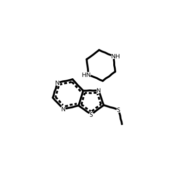 C1CNCCN1.CSc1nc2cncnc2s1